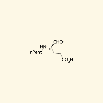 CCCCCN[C@@H]([C]=O)CCC(=O)O